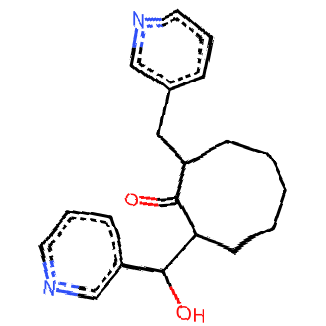 O=C1C(Cc2cccnc2)CCCCCC1C(O)c1cccnc1